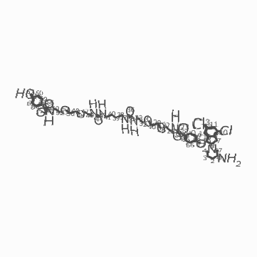 N[C@@H]1CCCN([C@H]2Cc3c(Cl)cc(Cl)cc3[C@@H]2Oc2ccc(S(=O)(=O)NCCOCCOCCNC(=O)NCCCCNC(=O)NCCOCCOCCNS(=O)(=O)c3ccc(O)cc3)cc2)C1